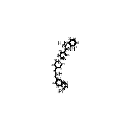 CC(C)n1nnc2cc(CNCC3CCN(c4ncc(C(=O)Nc5ccccc5N)cn4)CC3)ccc21